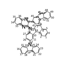 c1ccc2c(c1)ccc1c2c2cc(-n3c4ccccc4c4ccccc43)ccc2n1-c1nc2ccccc2nc1-c1ccc2c(c1)sc1ccccc12